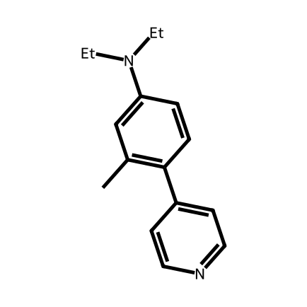 CCN(CC)c1ccc(-c2ccncc2)c(C)c1